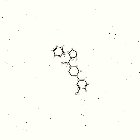 O=C(C1CCN(c2cc(Cl)ncn2)CC1)N1OCC[C@H]1c1cnccn1